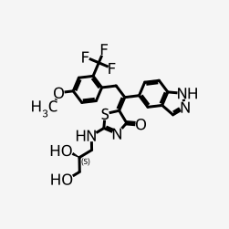 COc1ccc(CC(=C2SC(NC[C@H](O)CO)=NC2=O)c2ccc3[nH]ncc3c2)c(C(F)(F)F)c1